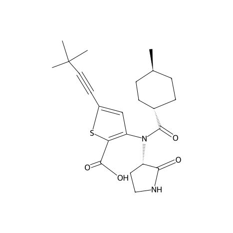 CC(C)(C)C#Cc1cc(N(C(=O)[C@H]2CC[C@H](C)CC2)[C@H]2CCNC2=O)c(C(=O)O)s1